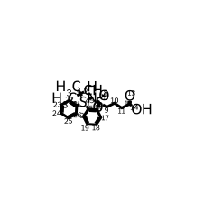 CC(C)(C)[Si](NS(=O)(=O)CCCC(=O)O)(c1ccccc1)c1ccccc1